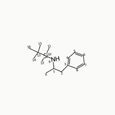 CC(Cc1ccccc1)N[Si](C)(C)C(C)(C)C